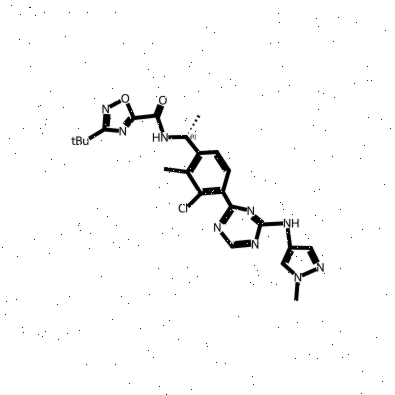 Cc1c([C@@H](C)NC(=O)c2nc(C(C)(C)C)no2)ccc(-c2ncnc(Nc3cnn(C)c3)n2)c1Cl